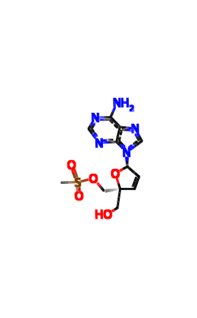 CS(=O)(=O)OC[C@@]1(CO)C=C[C@H](n2cnc3c(N)ncnc32)O1